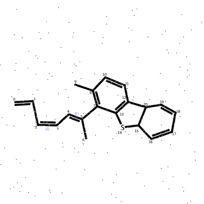 C=C/C=C\C=C(/C)c1c(C)ccc2c1SC1C=CC=CC21